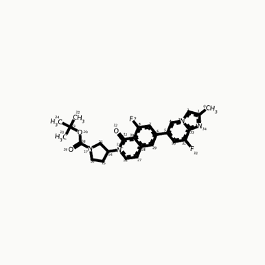 Cc1cn2cc(-c3cc(F)c4c(=O)n(C5CCN(C(=O)OC(C)(C)C)C5)ccc4c3)cc(F)c2n1